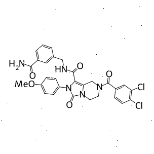 COc1ccc(-n2c(C(=O)NCc3cccc(C(N)=O)c3)c3n(c2=O)CCN(C(=O)c2ccc(Cl)c(Cl)c2)C3)cc1